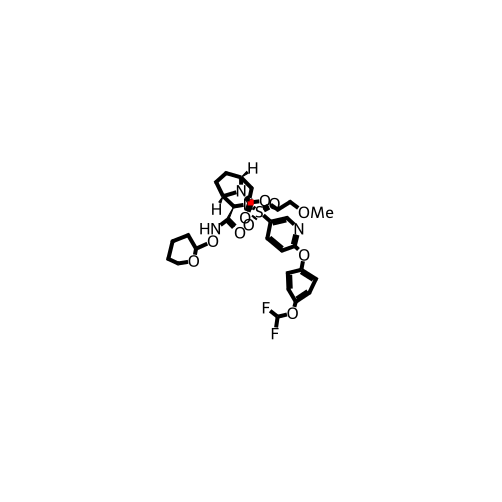 COCCOC(=O)N1[C@@H]2CC[C@H]1[C@H](C(=O)NOC1CCCCO1)N(S(=O)(=O)c1ccc(Oc3ccc(OC(F)F)cc3)nc1)C2